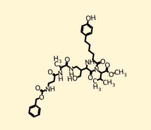 COC(=O)C(C(C)C)N(C(=O)CCCCCc1ccc(O)cc1)C(=O)C(N)C(CO)CNC(=O)[C@H](C)NC(=O)CCNC(=O)OCc1ccccc1